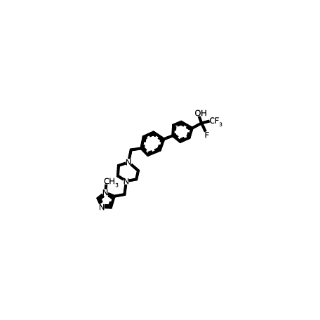 Cn1cncc1CN1CCN(Cc2ccc(-c3ccc(C(O)(F)C(F)(F)F)cc3)cc2)CC1